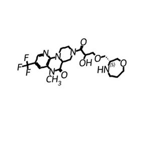 CN1C(=O)C2CN(C(=O)C(O)COC[C@@H]3COCCCN3)CCN2c2ncc(C(F)(F)F)cc21